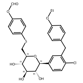 CCOc1ccc(Cc2cc([C@@H]3O[C@H](CSc4ccc(OC=O)cc4)[C@@H](O)[C@H](O)[C@H]3O)ccc2Cl)cc1